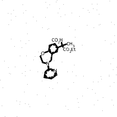 CCOC(=O)C(C)(C(=O)O)c1ccc2c(c1)CN(c1ccccn1)CCO2